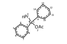 CCC[Si](OC(C)=O)(c1ccccc1)c1ccccc1